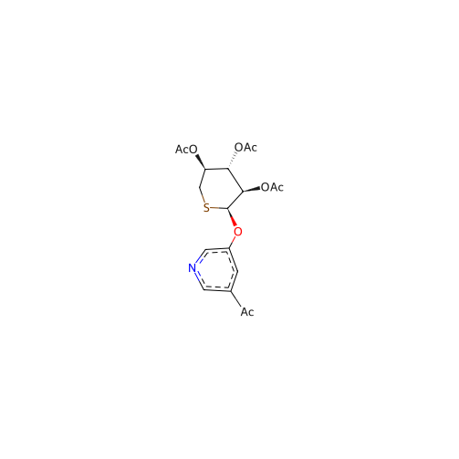 CC(=O)O[C@@H]1[C@@H](OC(C)=O)[C@@H](Oc2cncc(C(C)=O)c2)SC[C@H]1OC(C)=O